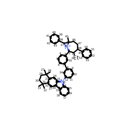 CCC1C(c2cccc(-c3cccc(-n4c5ccccc5c5cc6c(cc54)C(C)(C)CCC6(C)C)c3)c2)=[N+]2C(c3ccccc3)C2(C)CCC1c1ccccc1